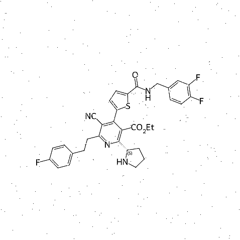 CCOC(=O)c1c([C@@H]2CCCN2)nc(CCc2ccc(F)cc2)c(C#N)c1-c1ccc(C(=O)NCc2ccc(F)c(F)c2)s1